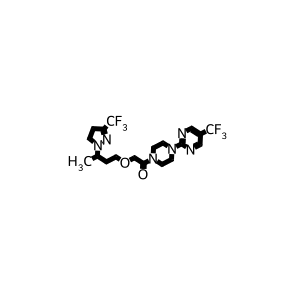 CC(CCOCC(=O)N1CCN(c2ncc(C(F)(F)F)cn2)CC1)N1CCC(C(F)(F)F)=N1